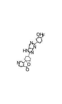 O=C1O[C@]2(CC[C@H](c3nc4nc(-c5ccc(F)c(O)c5)ncc4[nH]3)CC2)c2cnccc21